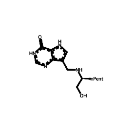 CCCCC[C@@H](CO)NCc1c[nH]c2c(=O)[nH]cnc12